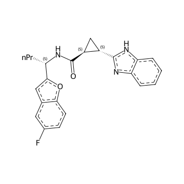 CCC[C@H](NC(=O)[C@H]1C[C@@H]1c1nc2ccccc2[nH]1)c1cc2cc(F)ccc2o1